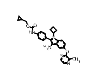 Cc1nccnc1Oc1ccc2c(c1)c(N)c(-c1ccc(NC(=O)OCC3CC3)cc1)n2C1CCC1